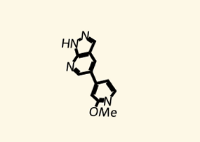 COc1cc(-c2cnc3[nH]ncc3c2)ccn1